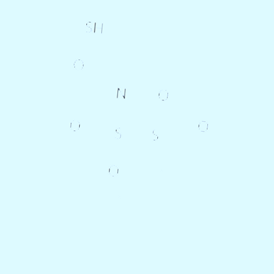 O=S(=O)([N+]OS)S(=O)(=O)c1[c]cccc1